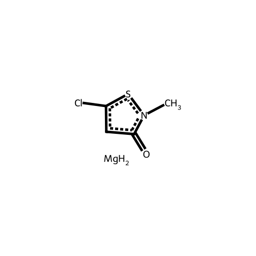 Cn1sc(Cl)cc1=O.[MgH2]